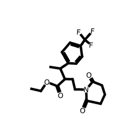 CCOC(=O)C(CCN1C(=O)CCCC1=O)C(C)c1ccc(C(F)(F)F)cc1